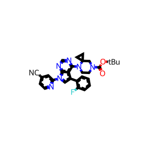 CC(C)(C)OC(=O)N1CCN(c2ncnc3c2c(-c2ccccc2F)cn3-c2cc(C#N)ccn2)C2(CC2)C1